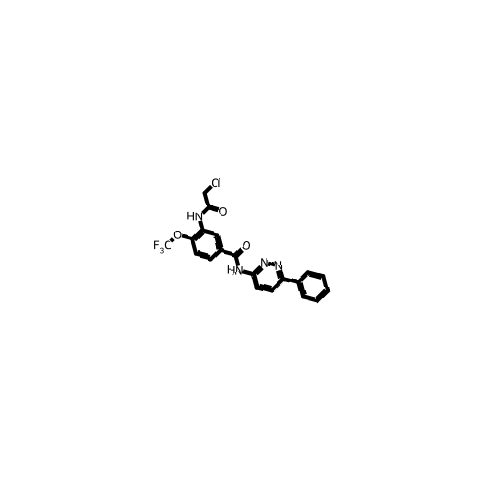 O=C(CCl)Nc1cc(C(=O)Nc2ccc(-c3ccccc3)nn2)ccc1OC(F)(F)F